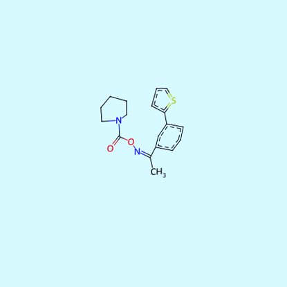 CC(=NOC(=O)N1CCCCC1)c1cccc(-c2cccs2)c1